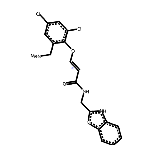 CNCc1cc(Cl)cc(Cl)c1O/C=C/C(=O)NCc1nc2ccccc2[nH]1